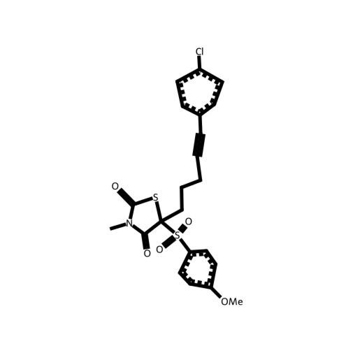 COc1ccc(S(=O)(=O)C2(CCCC#Cc3ccc(Cl)cc3)SC(=O)N(C)C2=O)cc1